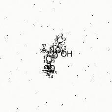 CC(C)(O)CC1(c2ccccc2)CCN(C(c2ccc(B3OC(C)(C)C(C)(C)O3)cc2)C2CC2)C(=O)O1